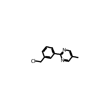 Cc1cnc(-c2cccc(CCl)c2)nc1